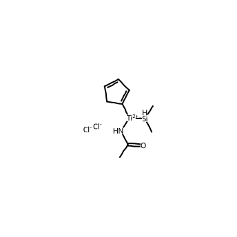 CC(=O)[NH][Ti+2]([C]1=CC=CC1)[SiH](C)C.[Cl-].[Cl-]